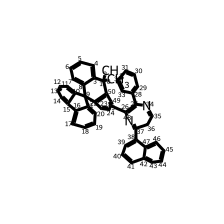 CC1(C)c2ccccc2C2(c3ccccc3-c3ccccc32)c2ccc(C3=C(c4ccccc4)N=CCC(c4cccc5ccccc45)=N3)cc21